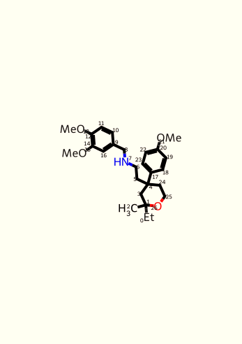 CCC1(C)CC(CCNCc2ccc(OC)c(OC)c2)(c2ccc(OC)cc2)CCO1